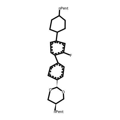 CCCCCC1CCC(c2ccc(-c3ccc([C@H]4OC[C@H](CCCCC)CO4)cc3)c(F)c2)CC1